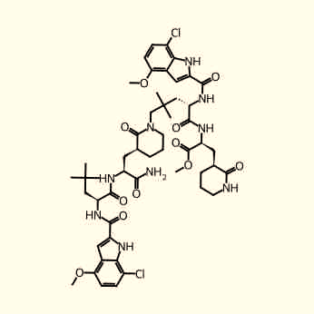 COC(=O)[C@H](C[C@@H]1CCCNC1=O)NC(=O)[C@H](CC(C)(C)CN1CCC[C@@H](C[C@H](NC(=O)[C@H](CC(C)(C)C)NC(=O)c2cc3c(OC)ccc(Cl)c3[nH]2)C(N)=O)C1=O)NC(=O)c1cc2c(OC)ccc(Cl)c2[nH]1